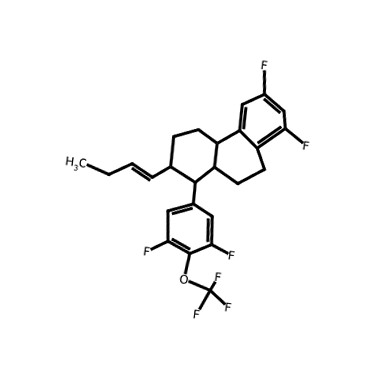 CCC=CC1CCC2c3cc(F)cc(F)c3CCC2C1c1cc(F)c(OC(F)(F)F)c(F)c1